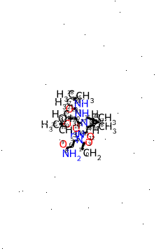 C=CC(=O)N(CCC(N)=O)NC(=O)[C@@H]1[C@@H]2[C@H](CN1C(=O)C(NC(=O)NC(C)(C)C)C(C)OC(C)(C)C)C2(C)C